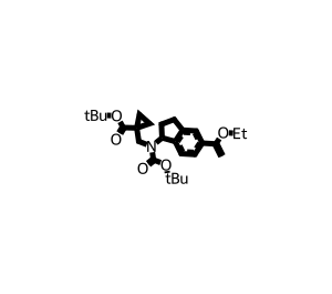 C=C(OCC)c1ccc2c(c1)CCC2N(CC1(C(=O)OC(C)(C)C)CC1)C(=O)OC(C)(C)C